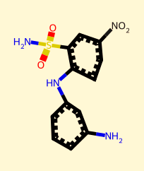 Nc1cccc(Nc2ccc([N+](=O)[O-])cc2S(N)(=O)=O)c1